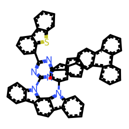 c1ccc(-c2nc(-c3cccc4c3sc3ccccc34)nc(-n3c4ccccc4c4ccc5c6ccccc6n(-c6cccc(-c7ccc8c9ccccc9c9ccccc9c8c7)c6)c5c43)n2)cc1